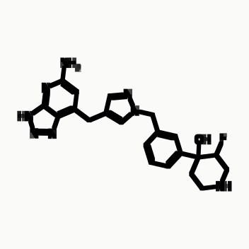 Nc1cc(Cc2cnn(Cc3cccc(C4(O)CCNCC4F)c3)c2)c2nn[nH]c2n1